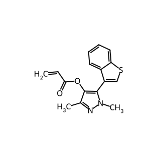 C=CC(=O)Oc1c(C)nn(C)c1-c1csc2ccccc12